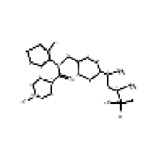 CC1CCCCC1N(CC1CCC(C(N)OC(N)C(F)(F)F)CC1)C(=O)N1CC[S+]([O-])CC1